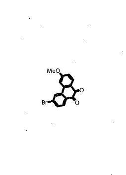 COc1ccc2c(c1)-c1cc(Br)ccc1C(=O)C2=O